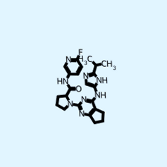 CC(C)c1ncc(Nc2nc(N3CCCC3C(=O)Nc3ccc(F)nc3)nc3c2CCC3)[nH]1